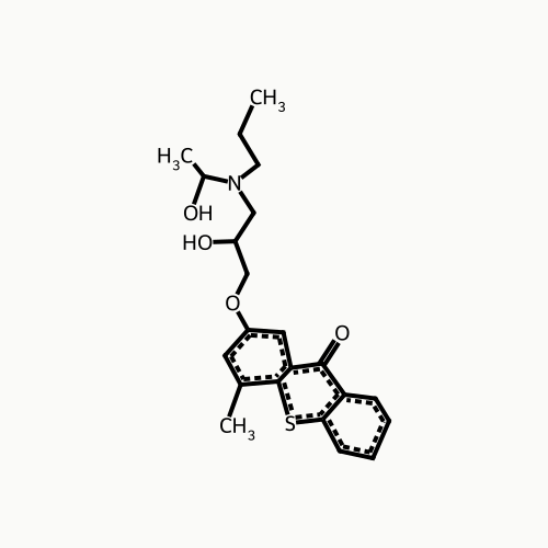 CCCN(CC(O)COc1cc(C)c2sc3ccccc3c(=O)c2c1)C(C)O